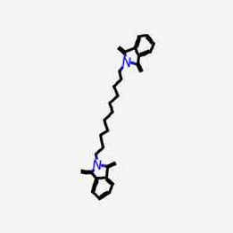 C=c1c2ccccc2c(=C)n1CCCCCCCCCCCn1c(=C)c2ccccc2c1=C